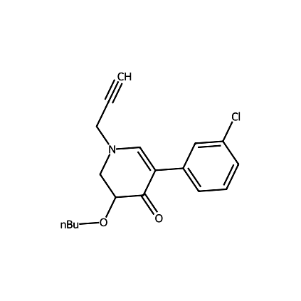 C#CCN1C=C(c2cccc(Cl)c2)C(=O)C(OCCCC)C1